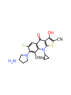 COc1c(N2CC[C@H](N)C2)c(F)cc2c(=O)c3c(O)c(C#N)sc3n(C3CC3)c12